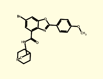 COc1ccc(-c2nc3c(C(=O)NC4CN5CCC4CC5)cc(Br)cc3o2)cc1